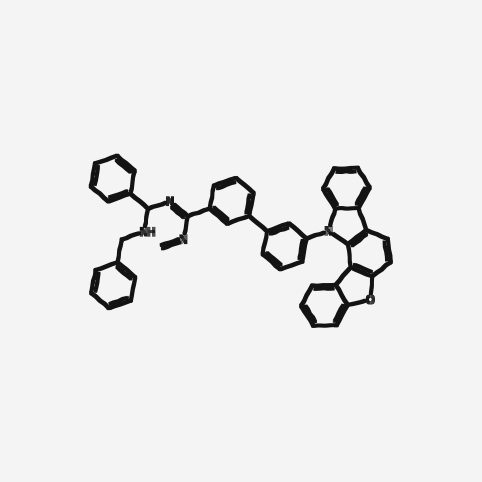 C=N/C(=N\C(NCc1ccccc1)c1ccccc1)c1cccc(-c2cccc(-n3c4ccccc4c4ccc5oc6ccccc6c5c43)c2)c1